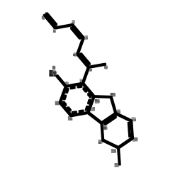 C=C/C=C\C=C(/C)c1c(CC)ccc2c1CC1=C2CC(C)C=C1